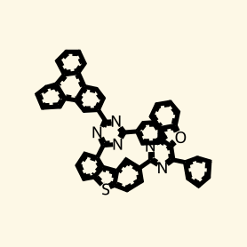 c1ccc(-c2nc(-c3ccc4c5ccccc5c5ccccc5c4c3)nc(-c3cccc4sc5ccc(-c6nc(-c7ccccc7)c7oc8ccccc8c7n6)cc5c34)n2)cc1